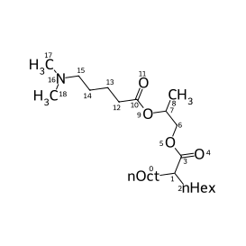 CCCCCCCCC(CCCCCC)C(=O)OCC(C)OC(=O)CCCCN(C)C